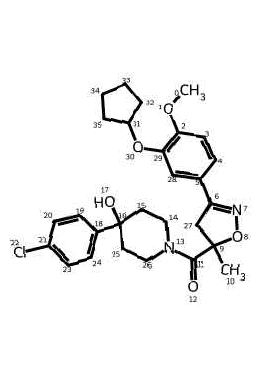 COc1ccc(C2=NOC(C)(C(=O)N3CCC(O)(c4ccc(Cl)cc4)CC3)C2)cc1OC1CCCC1